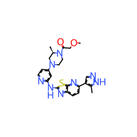 COCC(=O)N1CCN(c2ccnc(Nc3nc4ccc(-c5cn[nH]c5C)nc4s3)c2)C[C@H]1C